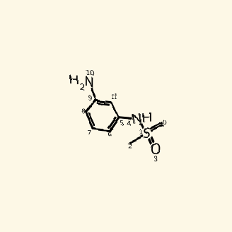 C=S(C)(=O)Nc1cccc(N)c1